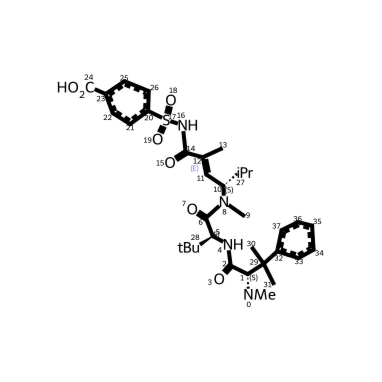 CN[C@H](C(=O)N[C@H](C(=O)N(C)[C@H](/C=C(\C)C(=O)NS(=O)(=O)c1ccc(C(=O)O)cc1)C(C)C)C(C)(C)C)C(C)(C)c1ccccc1